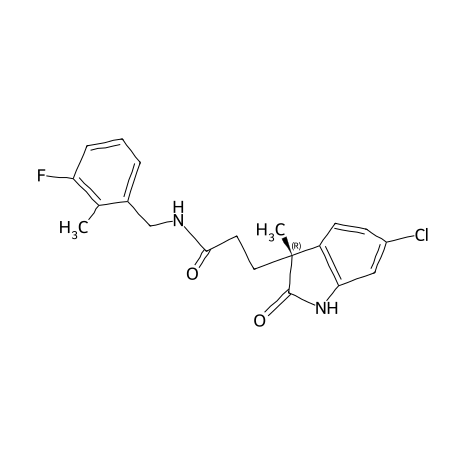 Cc1c(F)cccc1CNC(=O)CC[C@@]1(C)C(=O)Nc2cc(Cl)ccc21